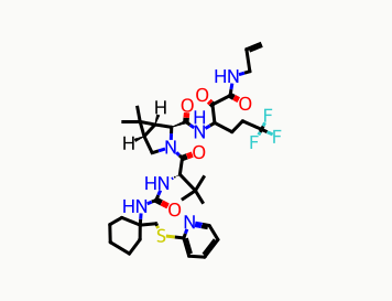 C=CCNC(=O)C(=O)C(CCC(F)(F)F)NC(=O)[C@@H]1[C@@H]2[C@H](CN1C(=O)[C@@H](NC(=O)NC1(CSc3ccccn3)CCCCC1)C(C)(C)C)C2(C)C